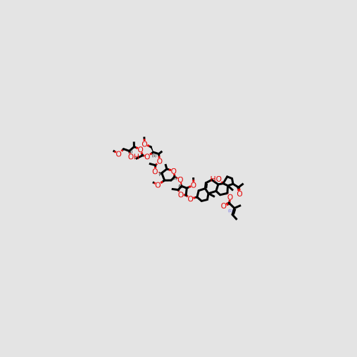 C/C=C(\C)C(=O)OC1CC2C(CC=C3CC(OC4OC(C)[C@@H](O[C@H]5CC(OC)[C@H](OC(C)OC(C)[C@H](COC)OC(C)OC(C)[C@@H](O)COC)C(C)O5)C4OC)CCC32C)C2(O)CCC(C(C)=O)C12C